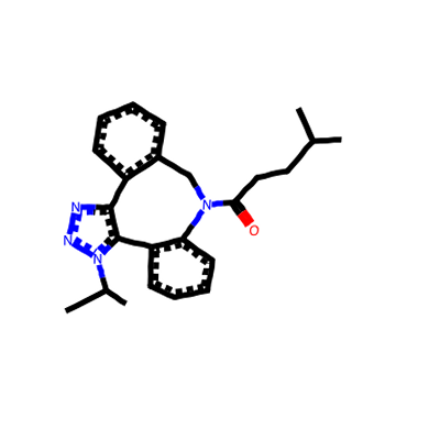 CC(C)CCC(=O)N1Cc2ccccc2-c2nnn(C(C)C)c2-c2ccccc21